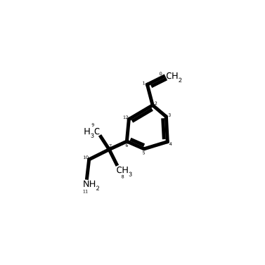 C=Cc1cccc(C(C)(C)CN)c1